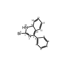 BrC1=NC(c2ccccc2)=C2C=CC=CC2N1